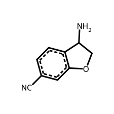 N#Cc1ccc2c(c1)OCC2N